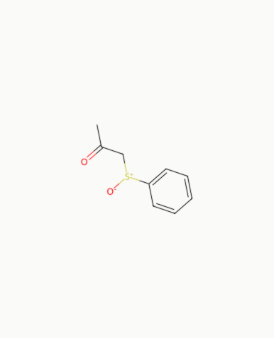 CC(=O)C[S+]([O-])c1ccccc1